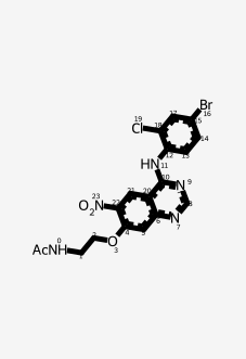 CC(=O)NCCOc1cc2ncnc(Nc3ccc(Br)cc3Cl)c2cc1[N+](=O)[O-]